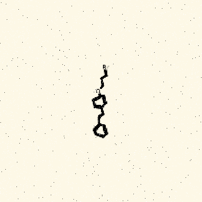 BrCCCOc1ccc(C=Cc2ccccc2)cc1